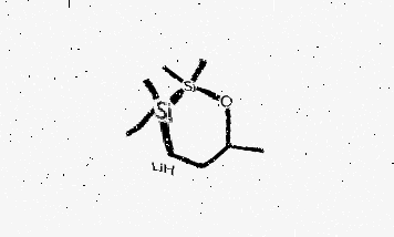 CC1CC[Si](C)(C)[Si](C)(C)O1.[LiH]